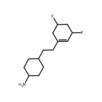 NC1CCC(CCC2=CC(F)CC(F)C2)CC1